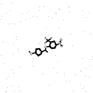 COc1ccc(C(C)Oc2ccc([N+](=O)[O-])cc2C(F)(F)F)cc1